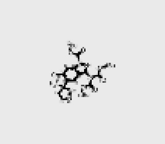 CC(C)(C)OC(=O)N(C(=O)OC(C)(C)C)c1nn(C(=O)OC(C)(C)C)c2cc(Cl)c(C3(C(F)(F)F)CCN=N3)cc12